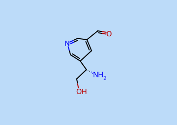 N[C@H](CO)c1cncc(C=O)c1